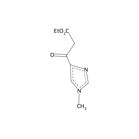 CCOC(=O)CC(=O)c1cn(C)cn1